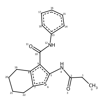 CCC(=O)Nc1sc2c(c1C(=O)Nc1ccccc1)CCCC2